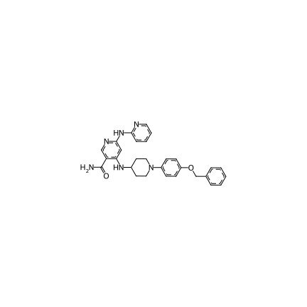 NC(=O)c1cnc(Nc2ccccn2)cc1NC1CCN(c2ccc(OCc3ccccc3)cc2)CC1